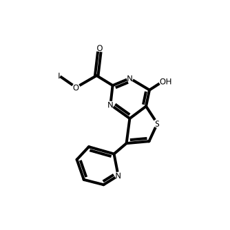 O=C(OI)c1nc(O)c2scc(-c3ccccn3)c2n1